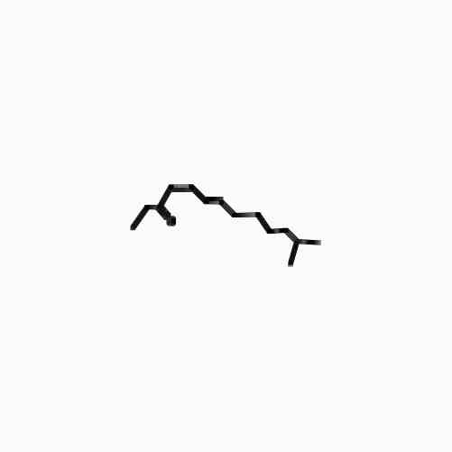 CCC(=O)/C=C\C=C\CCCCC(C)C